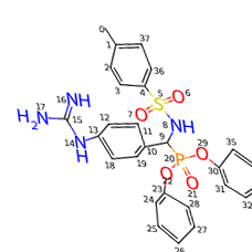 Cc1ccc(S(=O)(=O)NC(c2ccc(NC(=N)N)cc2)P(=O)(Oc2ccccc2)Oc2ccccc2)cc1